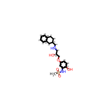 CS(=O)(=O)Nc1cc(OC[C@H](O)CNCC2CCc3ccccc3C2)ccc1O